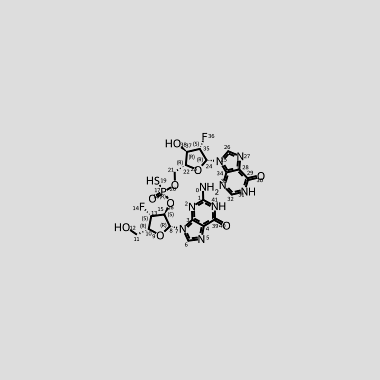 Nc1nc2c(ncn2[C@@H]2O[C@H](CO)[C@H](F)[C@H]2O[P@](=O)(S)OC[C@H]2O[C@@H](n3cnc4c(=O)[nH]cnc43)[C@@H](F)[C@@H]2O)c(=O)[nH]1